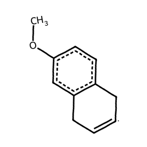 COc1ccc2c(c1)CC=[C]C2